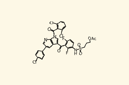 CC(=O)OCCCS(=O)(=O)Nc1ccc(F)c(C(=O)c2cn(C(=O)c3c(Cl)cccc3Cl)c3ncc(-c4ccc(Cl)cc4)cc23)c1F